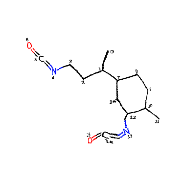 CC(CCN=C=O)C1CCC(C)C(N=C=O)C1